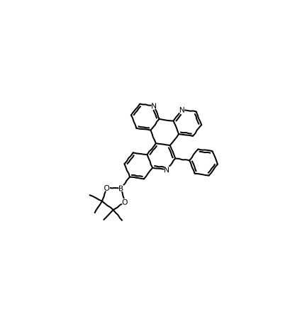 CC1(C)OB(c2ccc3c(c2)nc(-c2ccccc2)c2c4cccnc4c4ncccc4c32)OC1(C)C